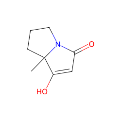 CC12CCCN1C(=O)C=C2O